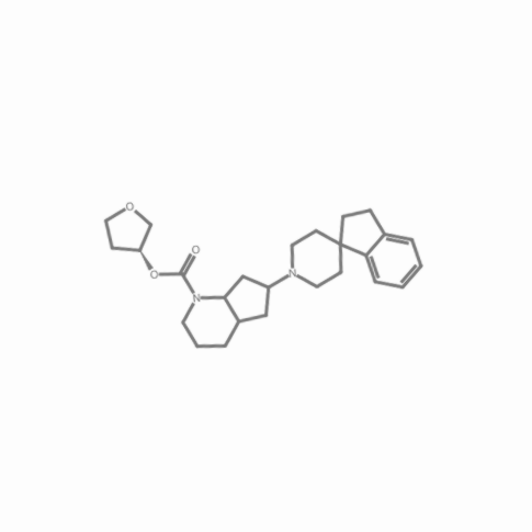 O=C(O[C@H]1CCOC1)N1CCCC2CC(N3CCC4(CCc5ccccc54)CC3)CC21